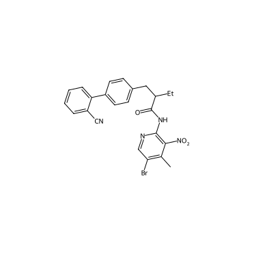 CCC(Cc1ccc(-c2ccccc2C#N)cc1)C(=O)Nc1ncc(Br)c(C)c1[N+](=O)[O-]